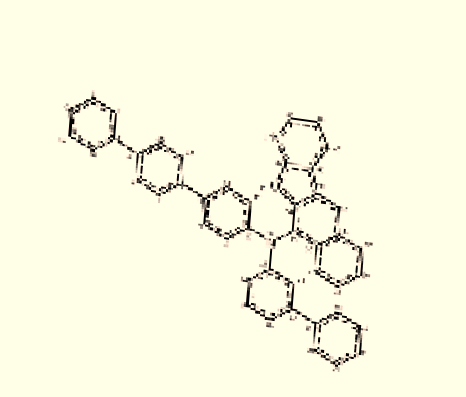 c1ccc(-c2ccc(-c3ccc(N(c4cccc(-c5ccccc5)c4)c4c5ccccc5cc5c4oc4ncccc45)cc3)cc2)cc1